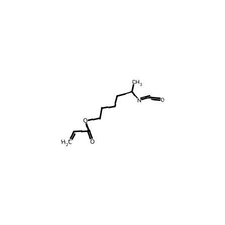 C=CC(=O)OCCCCC(C)N=C=O